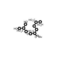 CC(C)(C)OC(=O)c1cc(-c2ccc(Oc3ccc(-c4cc(-c5ccc(O)cc5)cc(-c5ccc(O)cc5)c4S(=O)(=O)O)cc3)cc2)c(S(=O)(=O)O)c(-c2cccc(-c3cccc(-c4cc(C(=O)O)cc(-c5ccccc5)c4S(=O)(=O)O)c3)c2)c1